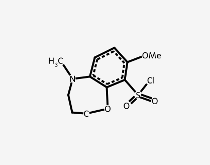 COc1ccc2c(c1S(=O)(=O)Cl)OCCCN2C